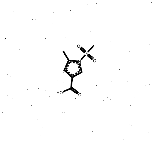 Cc1cc(C(=O)O)cn1S(C)(=O)=O